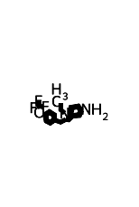 CCCn1c(Cc2ccc(OC(F)(F)F)cc2)cc2cc(N)ccc21